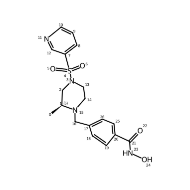 C[C@H]1CN(S(=O)(=O)c2cccnc2)CCN1Cc1ccc(C(=O)NO)cc1